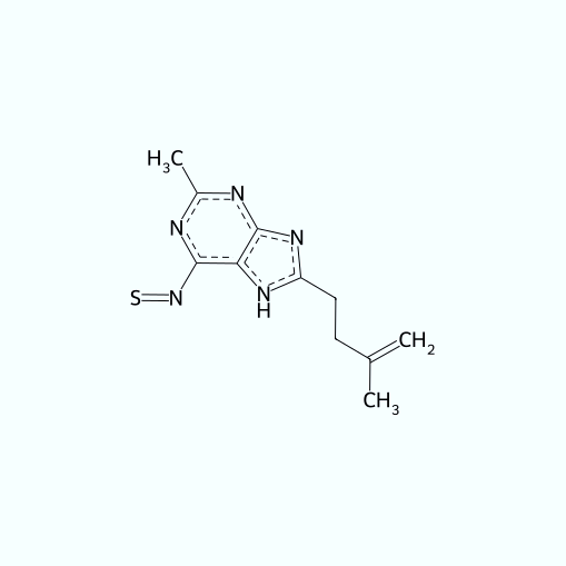 C=C(C)CCc1nc2nc(C)nc(N=S)c2[nH]1